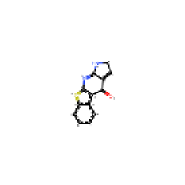 O=C1C2=CCNC2=Nc2sc3ccccc3c21